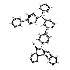 O=c1c2ccccc2n2c3ccccc3nc2n1-c1ccc(-c2cccc(N(c3ccccc3)c3ccc(-c4ccccc4)cc3)c2)cc1